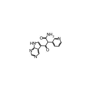 NC(=O)C(C(=O)c1c[nH]c2ncncc12)c1cccnc1